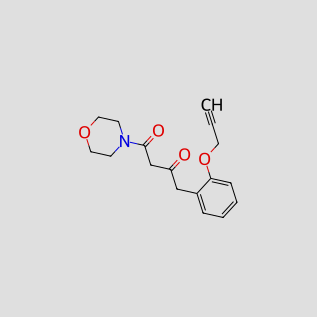 C#CCOc1ccccc1CC(=O)CC(=O)N1CCOCC1